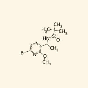 COc1nc(Br)ccc1C(C)N[S@+]([O-])C(C)(C)C